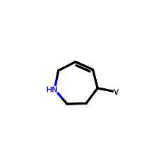 [V][CH]1C=CCNCC1